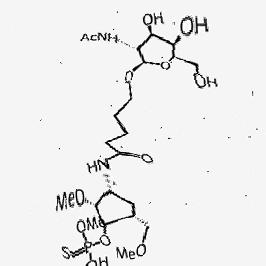 COC[C@H]1C[C@@H](NC(=O)CCCCO[C@@H]2O[C@H](CO)[C@H](O)[C@H](O)[C@H]2NC(C)=O)[C@@H](OC)C1OP(O)(=S)OC